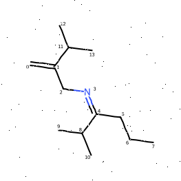 C=C(C/N=C(/CCC)C(C)C)C(C)C